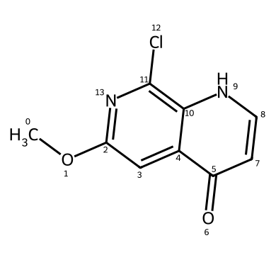 COc1cc2c(=O)cc[nH]c2c(Cl)n1